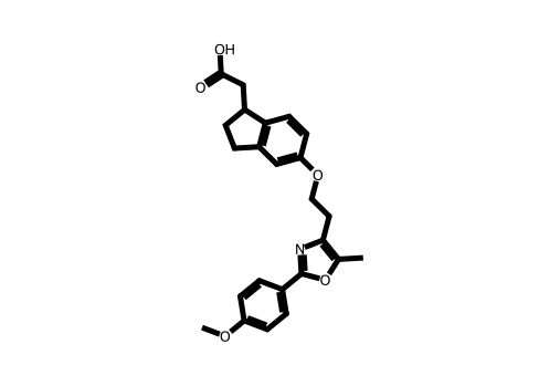 COc1ccc(-c2nc(CCOc3ccc4c(c3)CCC4CC(=O)O)c(C)o2)cc1